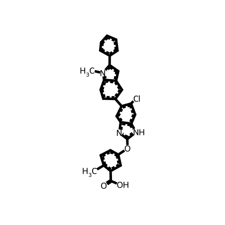 Cc1ccc(Oc2nc3cc(-c4ccc5c(c4)cc(-c4ccccc4)n5C)c(Cl)cc3[nH]2)cc1C(=O)O